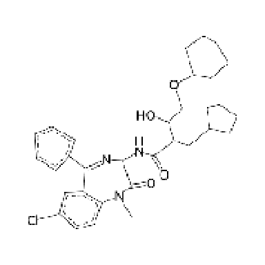 CN1C(=O)C(NC(=O)C(CC2CCCC2)C(O)COC2CCCCC2)N=C(c2ccccc2)c2cc(Cl)ccc21